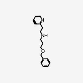 c1ccnc(CCNCCCOCc2ccccc2)c#1